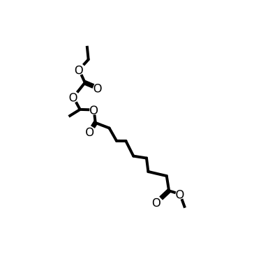 CCOC(=O)OC(C)OC(=O)CCCCCCCC(=O)OC